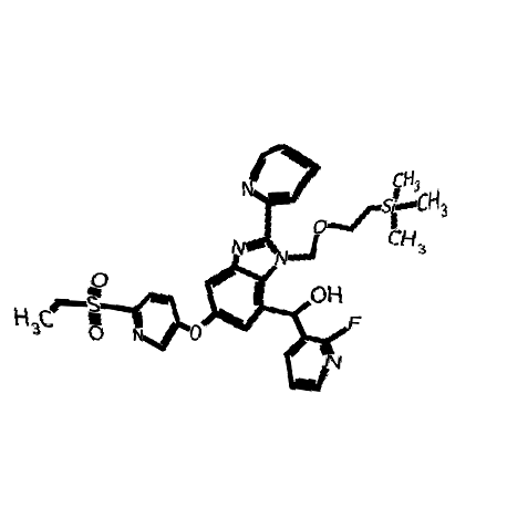 CCS(=O)(=O)c1ccc(Oc2cc(C(O)c3cccnc3F)c3c(c2)nc(-c2ccccn2)n3COCC[Si](C)(C)C)cn1